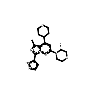 Cc1nc(-c2ccn[nH]2)n2nc(N3CCOC[C@H]3C)cc(C3CCOCC3)c12